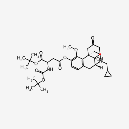 COc1c(OC(=O)CC(NC(=O)OC(C)(C)C)C(=O)OC(C)(C)C)ccc2c1[C@]13CCN(CC4CC4)[C@H](C2)[C@]1(O)CCC(=O)C3